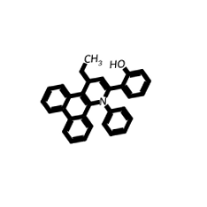 CCC1C=C(c2ccccc2O)N(c2ccccc2)c2c1c1ccccc1c1ccccc21